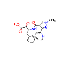 Cn1cc(C(=O)NC(Cc2ccccc2)C(=O)C(=O)O)c(-c2ccccn2)n1